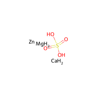 O=S(=O)(O)O.[CaH2].[MgH2].[Zn]